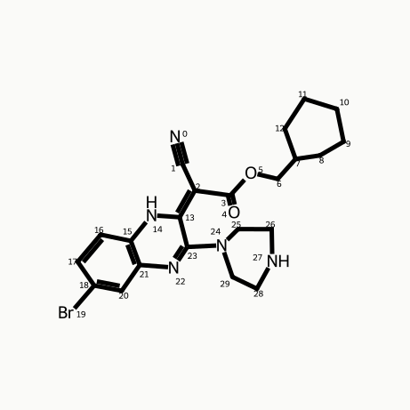 N#C/C(C(=O)OCC1CCCCC1)=C1\Nc2ccc(Br)cc2N=C1N1CCNCC1